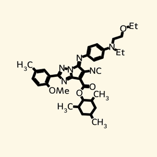 [C-]#[N+]C1=C(C(=O)OC2C(C)CC(C)CC2C)c2nc(-c3cc(C)ccc3OC)nn2/C1=N/c1ccc(N(CC)CCOCC)cc1